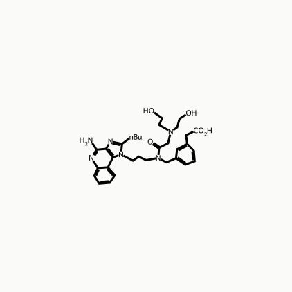 CCCCc1nc2c(N)nc3ccccc3c2n1CCCN(Cc1cccc(CC(=O)O)c1)C(=O)CN(CCO)CCO